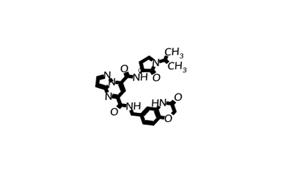 CC(C)N1CC[C@H](NC(=O)c2cc(C(=O)NCc3ccc4c(c3)NC(=O)CO4)nc3ccnn23)C1=O